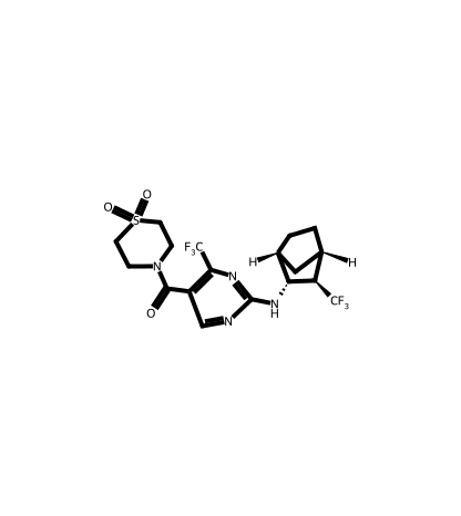 O=C(c1cnc(N[C@@H]2[C@@H]3CC[C@@H](C3)[C@H]2C(F)(F)F)nc1C(F)(F)F)N1CCS(=O)(=O)CC1